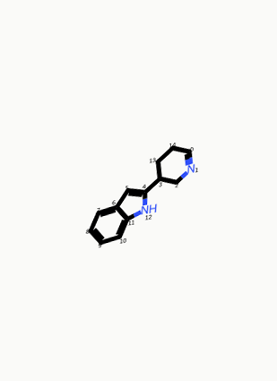 C1=NCC(c2cc3ccccc3[nH]2)CC1